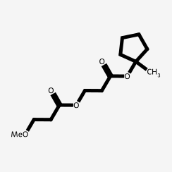 COCCC(=O)OCCC(=O)OC1(C)CCCC1